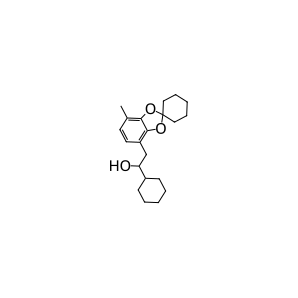 Cc1ccc(CC(O)C2CCCCC2)c2c1OC1(CCCCC1)O2